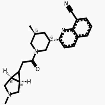 C[C@H]1C[C@H](c2ccc3cccc(C#N)c3n2)CN(C(=O)CC2[C@H]3CN(C)C[C@@H]23)C1